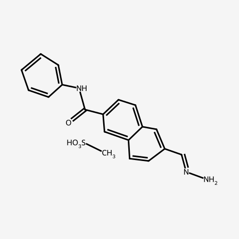 CS(=O)(=O)O.NN=Cc1ccc2cc(C(=O)Nc3ccccc3)ccc2c1